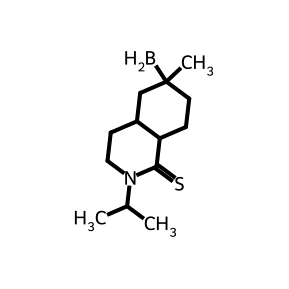 BC1(C)CCC2C(=S)N(C(C)C)CCC2C1